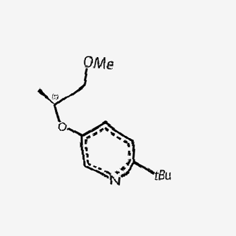 COC[C@H](C)Oc1ccc(C(C)(C)C)nc1